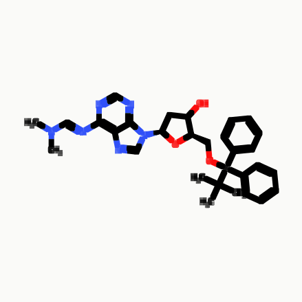 CN(C)/C=N/c1ncnc2c1ncn2[C@H]1CC(O)[C@@H](CO[Si](c2ccccc2)(c2ccccc2)C(C)(C)C)O1